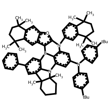 CC(C)(C)c1ccc(N(c2ccc(C(C)(C)C)cc2)c2cc3c4c(c2)N2c5c(cc(-c6ccccc6)cc5C5(C)CCCCC25C)B4c2c(oc4cc5c(cc24)C(C)(C)CCC5(C)C)N3c2ccc3c(c2)C(C)(C)CCC3(C)C)cc1